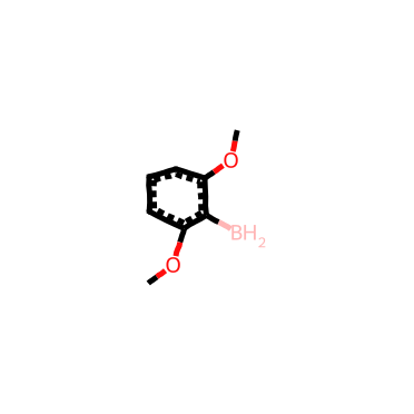 Bc1c(OC)cccc1OC